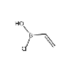 C=CB(O)Cl